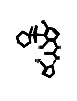 CC1=CCC[C@H]1NC(=O)Nc1ccc(Cl)c(S(=O)(=O)C2(F)CCOCC2)c1O